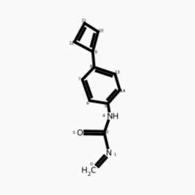 C=NC(=O)Nc1ccc(C2=CC=C2)cc1